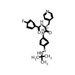 CC(C)(C)NSc1ccc(NC(=O)[C@H](Cc2ccncc2)NC(=O)c2ccc(F)cc2)cc1